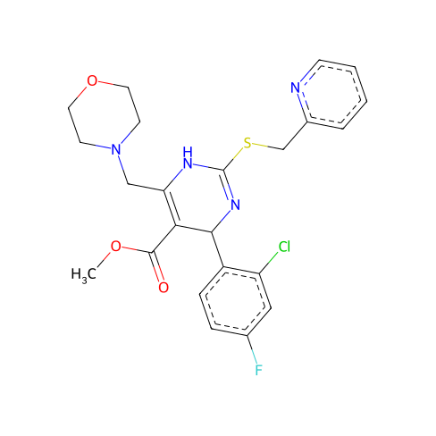 COC(=O)C1=C(CN2CCOCC2)NC(SCc2ccccn2)=NC1c1ccc(F)cc1Cl